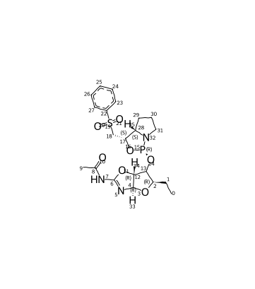 CC[C@H]1O[C@H]2N=C(NC(C)=O)O[C@@H]2C1O[P@@]1O[C@H](CS(=O)(=O)c2ccccc2)[C@@H]2CCCN21